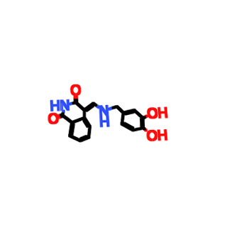 O=C1NC(=O)c2ccccc2/C1=C\NCc1ccc(O)c(O)c1